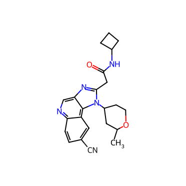 CC1CC(n2c(CC(=O)NC3CCC3)nc3cnc4ccc(C#N)cc4c32)CCO1